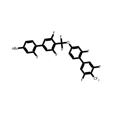 CCCCc1ccc(-c2cc(F)c(C(F)(F)Oc3ccc(-c4cc(F)c(C(F)(F)F)c(F)c4)c(F)c3)c(F)c2)c(F)c1